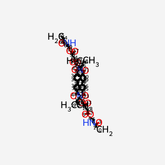 C=CC(=O)NCCOC(=O)CCC(=O)OCC(CC(C)C)N1C(=O)c2ccc3c4ccc5c6c(ccc(c7ccc(c2c37)C1=O)c64)C(=O)N(C(COC(=O)CCC(=O)OCCNC(=O)C=C)CC(C)C)C5=O